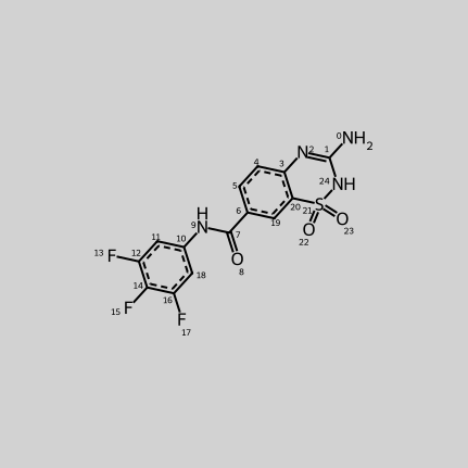 NC1=Nc2ccc(C(=O)Nc3cc(F)c(F)c(F)c3)cc2S(=O)(=O)N1